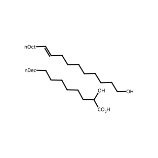 CCCCCCCCC=CCCCCCCCCO.CCCCCCCCCCCCCCCCC(O)C(=O)O